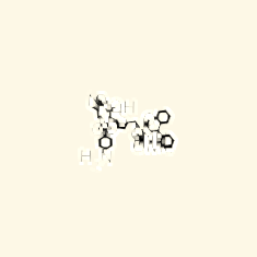 COC(=O)N[C@H](C(=O)NCc1ccc(C(CO)N(Cc2cnon2)S(=O)(=O)c2ccc(N)cc2)s1)C(c1ccccc1)c1ccccc1